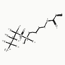 C=CC(=O)OCCCC[N+](C)(F)S(=O)(=O)C(F)(F)C(F)(F)C(F)(F)C(F)(F)F